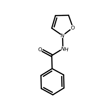 O=C(NN1C=CCO1)c1ccccc1